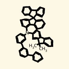 CC1(C)c2ccccc2-c2ccc(N(c3cccc(-c4cccc(-c5ccccc5)c4)c3)c3cccc4c3-c3ccccc3C43c4ccccc4-c4ccccc43)cc21